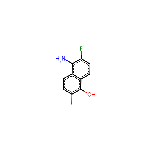 Cc1ccc2c(N)c(F)ccc2c1O